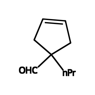 CCCC1(C=O)CC=CC1